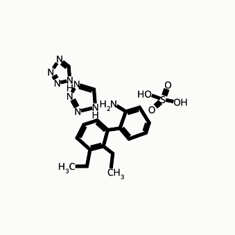 CCc1cccc(-c2ccccc2N)c1CC.O=S(=O)(O)O.c1nnn[nH]1.c1nnn[nH]1